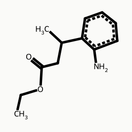 CCOC(=O)CC(C)c1ccccc1N